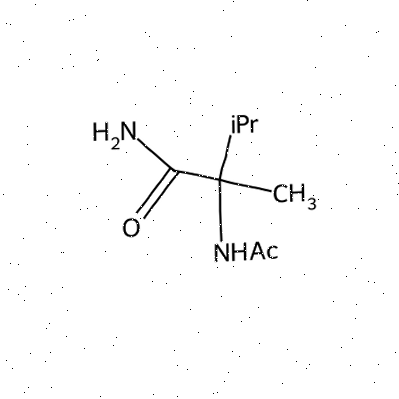 CC(=O)NC(C)(C(N)=O)C(C)C